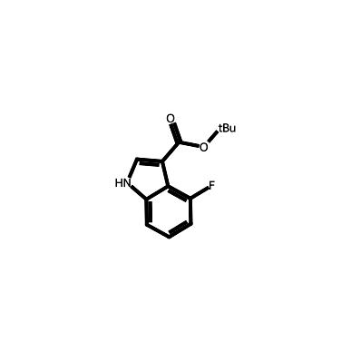 CC(C)(C)OC(=O)c1c[nH]c2cccc(F)c12